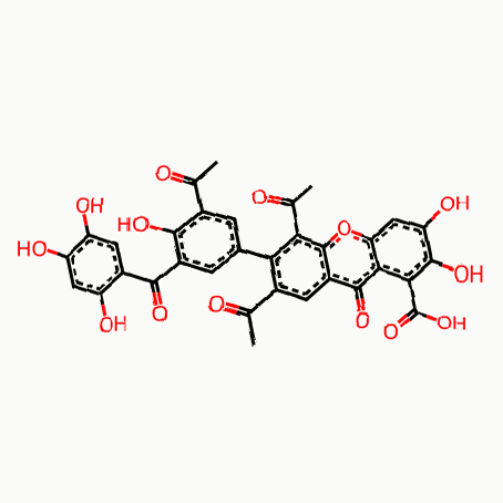 CC(=O)c1cc(-c2c(C(C)=O)cc3c(=O)c4c(C(=O)O)c(O)c(O)cc4oc3c2C(C)=O)cc(C(=O)c2cc(O)c(O)cc2O)c1O